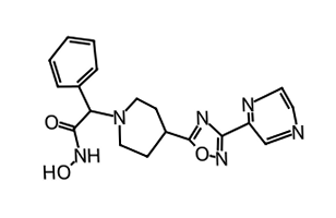 O=C(NO)C(c1ccccc1)N1CCC(c2nc(-c3cnccn3)no2)CC1